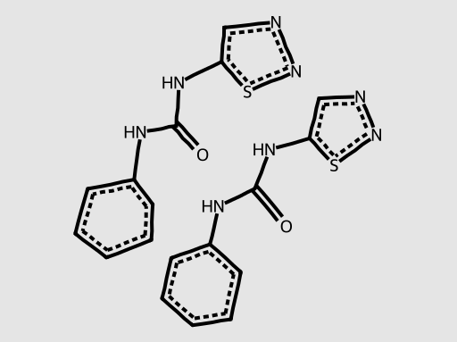 O=C(Nc1ccccc1)Nc1cnns1.O=C(Nc1ccccc1)Nc1cnns1